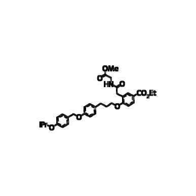 CCOC(=O)c1ccc(OCCCc2ccc(OCc3ccc(OC(C)C)cc3)cc2)c(CC(=O)NCC(=O)OC)c1